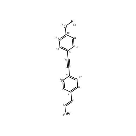 CCCC=Cc1cnc(C#Cc2ccc(OCC)nc2)nc1